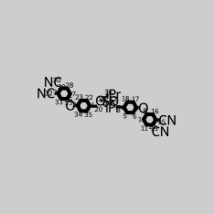 CC(C)[Si](OCc1ccc(Oc2ccc(C#N)c(C#N)c2)cc1)(OCc1ccc(Oc2ccc(C#N)c(C#N)c2)cc1)C(C)C